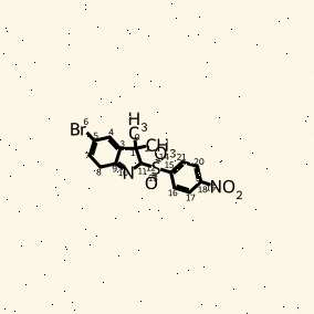 CC1(C)C2=CC(Br)=CCC2=NC1S(=O)(=O)c1ccc([N+](=O)[O-])cc1